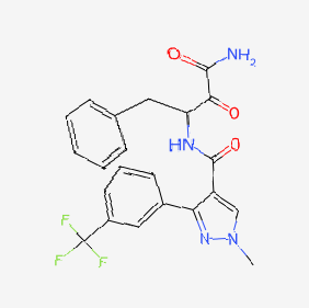 Cn1cc(C(=O)NC(Cc2ccccc2)C(=O)C(N)=O)c(-c2cccc(C(F)(F)F)c2)n1